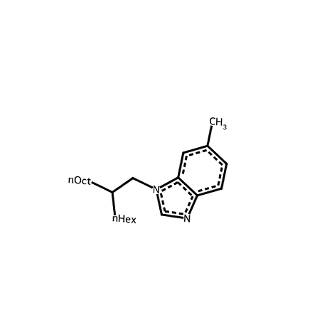 CCCCCCCCC(CCCCCC)Cn1cnc2ccc(C)cc21